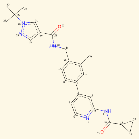 Cc1cc(-c2ccnc(NC(=O)C3CC3)c2)ccc1CNC(=O)c1cnn(C(C)(C)C)c1